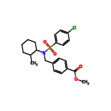 COC(=O)c1ccc(CN(C2CCCCC2C)S(=O)(=O)c2ccc(Cl)cc2)cc1